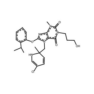 CC(C)c1ccccc1Oc1nc2c(c(=O)n(CCCO)c(=O)n2C)n1CC1(C)C=CC(Cl)=CN1